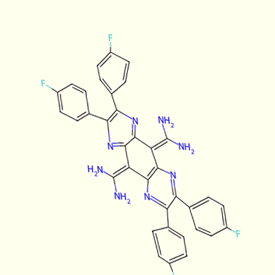 NC(N)=c1c2nc(-c3ccc(F)cc3)c(-c3ccc(F)cc3)nc2c(=C(N)N)c2nc(-c3ccc(F)cc3)c(-c3ccc(F)cc3)nc12